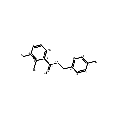 Cc1ccc(CNC(=O)c2cccc(C)c2C)cc1